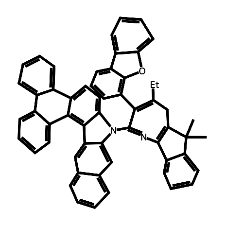 CCC1=C(c2cccc3c2oc2ccccc23)C(n2c3cc4ccccc4cc3c3c4c5ccccc5c5ccccc5c4ccc32)=NC2=C(C1)C(C)(C)c1ccccc12